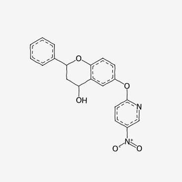 O=[N+]([O-])c1ccc(Oc2ccc3c(c2)C(O)CC(c2ccccc2)O3)nc1